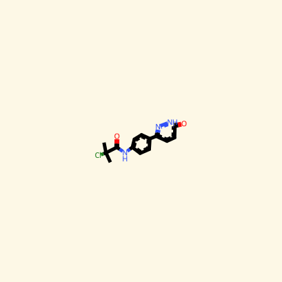 CC(C)(Cl)C(=O)Nc1ccc(-c2ccc(=O)[nH]n2)cc1